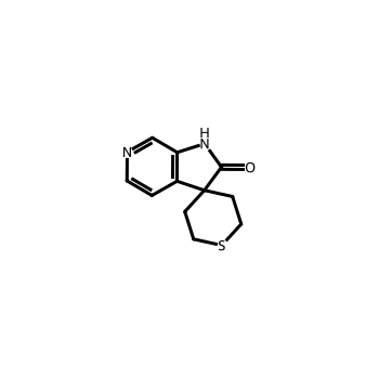 O=C1Nc2cnccc2C12CCSCC2